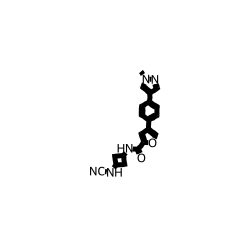 Cn1cc(-c2ccc(-c3coc(C(=O)NC4CC(NC#N)C4)c3)cc2)cn1